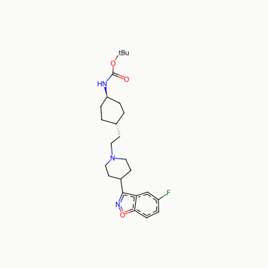 CC(C)(C)OC(=O)N[C@H]1CC[C@H](CCN2CCC(c3noc4ccc(F)cc34)CC2)CC1